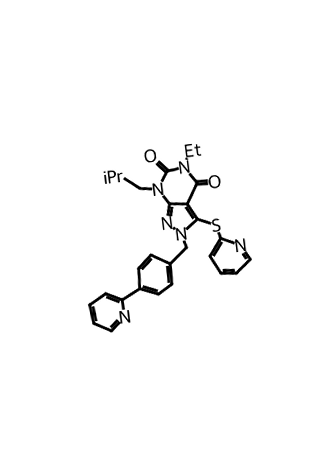 CCn1c(=O)c2c(Sc3ccccn3)n(Cc3ccc(-c4ccccn4)cc3)nc2n(CC(C)C)c1=O